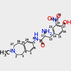 CN1CCc2ccc(NC(=O)C(N)Cc3ccc(O)c([N+](=O)[O-])c3)cc2CC1